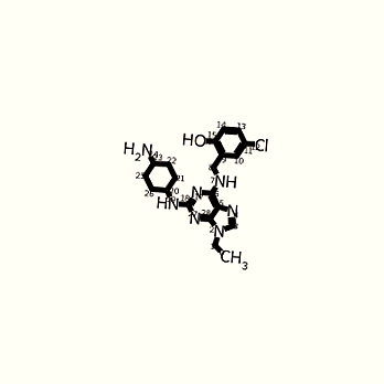 CCn1cnc2c(NCc3cc(Cl)ccc3O)nc(NC3CCC(N)CC3)nc21